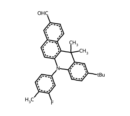 Cc1ccc(N2c3ccc(C(C)(C)C)cc3C(C)(C)c3c2ccc2cc(C=O)ccc32)cc1F